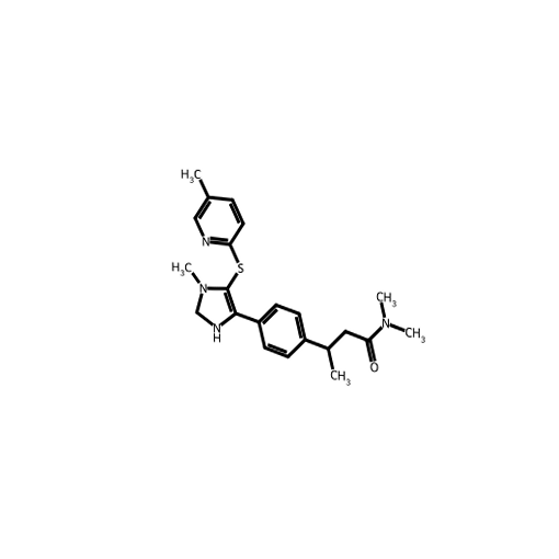 Cc1ccc(SC2=C(c3ccc(C(C)CC(=O)N(C)C)cc3)NCN2C)nc1